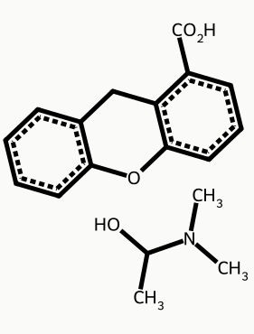 CC(O)N(C)C.O=C(O)c1cccc2c1Cc1ccccc1O2